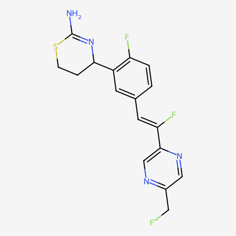 NC1=NC(c2cc(/C=C(\F)c3cnc(CF)cn3)ccc2F)CCS1